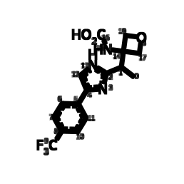 CC(c1nc(-c2ccc(C(F)(F)F)cc2)c[nH]1)C1(NC(=O)O)COC1